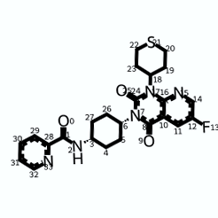 O=C(N[C@H]1CC[C@@H](n2c(=O)c3cc(F)cnc3n(C3CCSCC3)c2=O)CC1)c1ccccn1